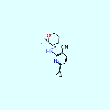 C[C@@H]1OCCC[C@@H]1Nc1nc(C2CC2)ccc1C#N